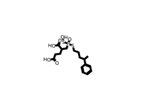 CC(CCCSP(=O)(CC(CCC(=O)O)C(=O)O)SO)c1ccccc1